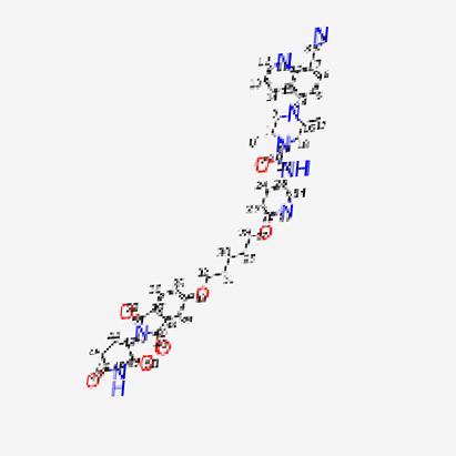 C[C@@H]1CN(c2ccc(C#N)c3ncccc23)[C@@H](C)CN1C(=O)Nc1ccc(OCCCCCOc2ccc3c(c2)C(=O)N(C2CCC(=O)NC2=O)C3=O)nc1